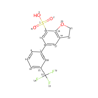 O=S(=O)(O)c1cc(-c2cccc(C(F)(F)F)c2)cc2c1OCC2